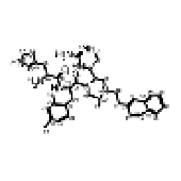 CC[C@H](NC(=N)N)C1CN(CCc2ccc3ccccc3c2)C(C)CN1C(=O)C(Cc1ccc(C)cc1C)NC(=O)C(N)Cc1c[nH]cn1